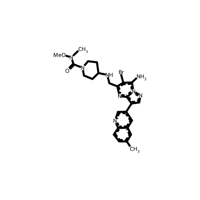 CON(C)C(=O)N1CCC(NCc2nc3c(-c4cnc5ccc(C)cc5c4)cnn3c(N)c2Br)CC1